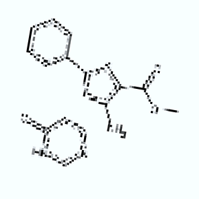 COC(=O)c1sc(-c2ccccc2)cc1N.O=c1ccnc[nH]1